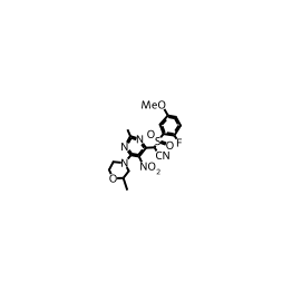 COc1ccc(F)c(S(=O)(=O)C(C#N)c2nc(C)nc(N3CCOC(C)C3)c2[N+](=O)[O-])c1